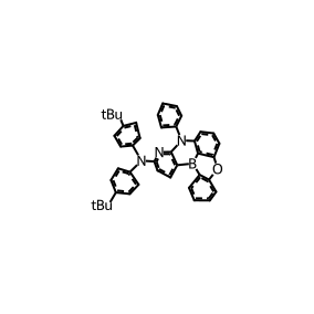 CC(C)(C)c1ccc(N(c2ccc(C(C)(C)C)cc2)c2ccc3c(n2)N(c2ccccc2)c2cccc4c2B3c2ccccc2O4)cc1